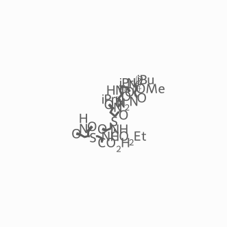 CCOC(=O)NC(CSC1CC(=O)N(N(C)[C@H](C(=O)N[C@H](C(=O)N(C)[C@@H]([C@@H](C)CC)[C@@H](CC(N)=O)OC)C(C)C)C(C)C)C1=O)C(=O)NC(CSC1CC(=O)NC1=O)C(=O)O